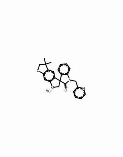 CC1(C)COc2cc3c(cc21)C1(CO3)C(=O)N(Cc2ccccn2)c2ccccc21.Cl